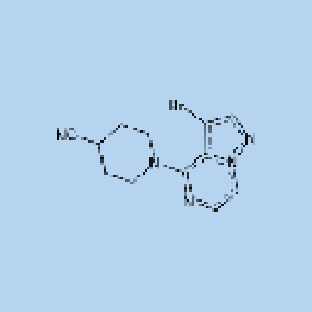 N#CC1CCN(c2nccn3ncc(Br)c23)CC1